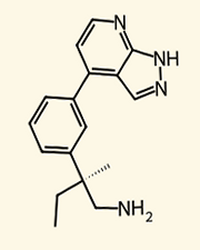 CC[C@](C)(CN)c1cccc(-c2ccnc3[nH]ncc23)c1